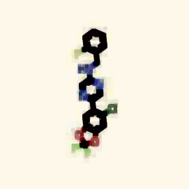 Fc1ccccc1CNc1cnc(-c2cc3c(cc2Cl)OC(F)(F)O3)cn1